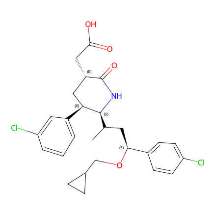 CC(C[C@H](OCC1CC1)c1ccc(Cl)cc1)[C@@H]1NC(=O)[C@@H](CC(=O)O)C[C@@H]1c1cccc(Cl)c1